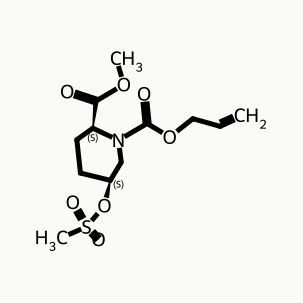 C=CCOC(=O)N1C[C@@H](OS(C)(=O)=O)CC[C@H]1C(=O)OC